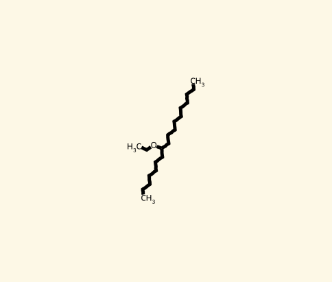 CCCCCCCCCCC(CCCCCCC)OCC